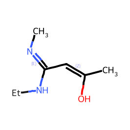 CCNC(/C=C(/C)O)=N/C